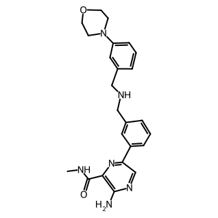 CNC(=O)c1nc(-c2cccc(CNCc3cccc(N4CCOCC4)c3)c2)cnc1N